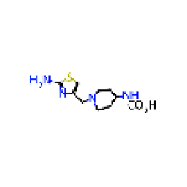 Nc1nc(CN2CCC(NC(=O)O)CC2)cs1